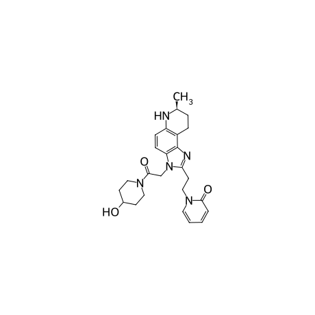 C[C@H]1CCc2c(ccc3c2nc(CCn2ccccc2=O)n3CC(=O)N2CCC(O)CC2)N1